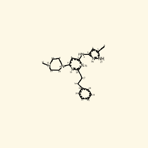 Cc1cc(Nc2cc(N3CCN(C)CC3)nc(CCc3ccccc3)n2)n[nH]1